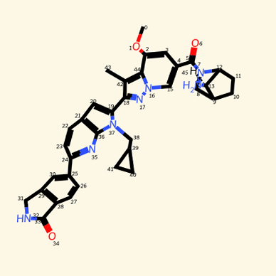 COc1cc(C(=O)N2CC3CCC2[C@@H]3N)cn2nc(-c3cc4ccc(-c5ccc6c(c5)CNC6=O)nc4n3CC3CC3)c(C)c12